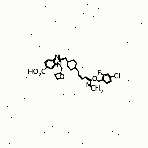 C=N/C(=C\C=C/CC1CCC(Cc2nc3ccc(C(=O)O)cc3n2C[C@@H]2CCO2)CC1)OCc1ccc(Cl)cc1F